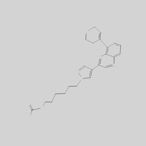 NC(=O)OCCCCCCn1cc(-c2cnc3cccc(C4=CCOCC4)c3n2)cn1